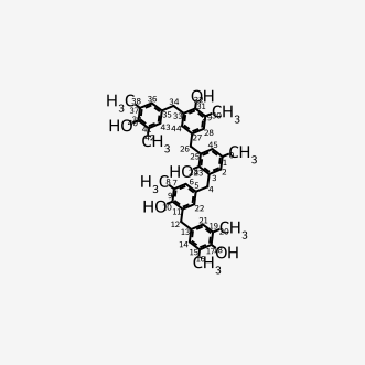 Cc1cc(Cc2cc(C)c(O)c(Cc3cc(C)c(O)c(C)c3)c2)c(O)c(Cc2cc(C)c(O)c(Cc3cc(C)c(O)c(C)c3)c2)c1